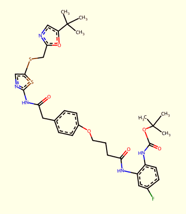 CC(C)(C)OC(=O)Nc1ccc(F)cc1NC(=O)CCCOc1ccc(CC(=O)Nc2ncc(SCc3ncc(C(C)(C)C)o3)s2)cc1